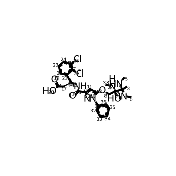 CNC(C)(NC)[C@](O)(COc1cc(C(=O)N[C@@H](CC(=O)O)c2cccc(Cl)c2Cl)nn1-c1ccccc1)NC